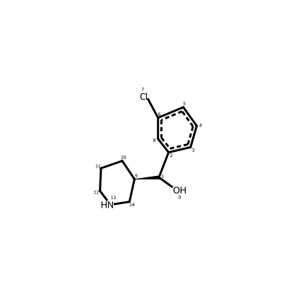 OC(c1cccc(Cl)c1)[C@@H]1CCCNC1